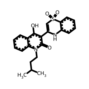 CC(C)CCn1c(=O)c(C2=CS(=O)(=O)c3ccccc3N2)c(O)c2ccccc21